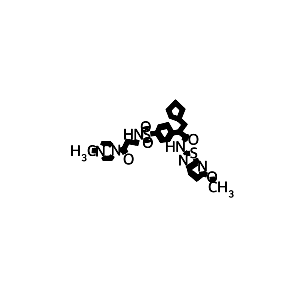 COc1ccc2nc(NC(=O)C(CC3CCCC3)c3ccc(S(=O)(=O)NCCC(=O)N4CCN(C)CC4)cc3)sc2n1